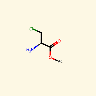 CC(=O)OC(=O)[C@@H](N)CCl